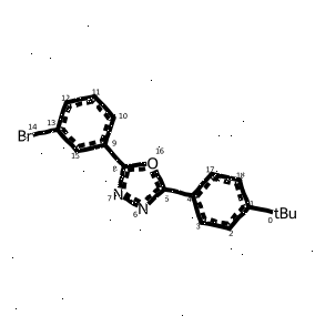 CC(C)(C)c1ccc(-c2nnc(-c3cccc(Br)c3)o2)cc1